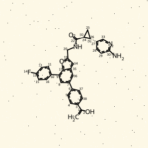 C=C(O)c1ccc(-c2cc(-c3ccc(F)cc3)c3oc(CNC(=O)[C@H]4C[C@@H]4c4ccc(N)nc4)cc3c2)cc1